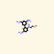 COCCNc1ccc(N)cc1-c1cc(N)cc(N)c1